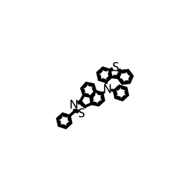 c1ccc(-c2nc3c(s2)-c2ccc(N(c4ccccc4)c4cccc5sc6ccccc6c45)c4cccc-3c24)cc1